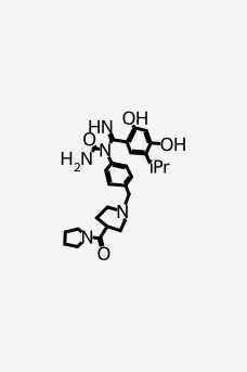 CC(C)c1cc(C(=N)N(C(N)=O)c2ccc(CN3CCC(C(=O)N4CCCC4)CC3)cc2)c(O)cc1O